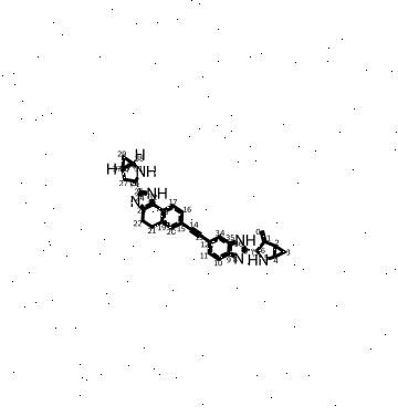 C=C1C2CC2N[C@@H]1c1nc2ccc(C#Cc3ccc4c(c3)CCc3nc([C@@H]5C[C@H]6C[C@H]6N5)[nH]c3-4)cc2[nH]1